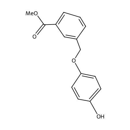 COC(=O)c1cccc(COc2ccc(O)cc2)c1